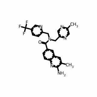 Cc1cnc(CN(Cc2ccc(C(F)(F)F)cn2)C(=O)c2ccc3nc(N)c(C)cc3c2)cn1